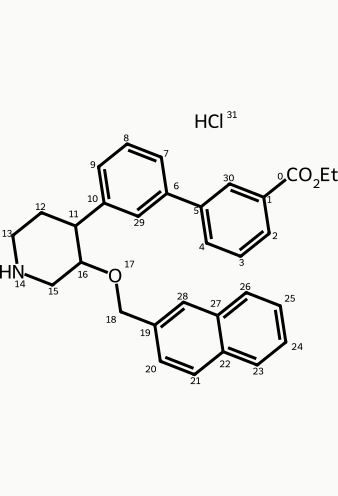 CCOC(=O)c1cccc(-c2cccc(C3CCNCC3OCc3ccc4ccccc4c3)c2)c1.Cl